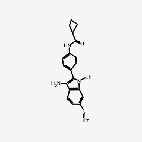 CCn1c(-c2ccc(NC(=O)C3CCC3)cc2)c(N)c2ccc(OC(C)C)cc21